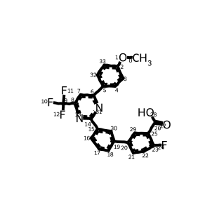 COc1ccc(-c2cc(C(F)(F)F)nc(-c3cccc(-c4ccc(F)c(C(=O)O)c4)c3)n2)cc1